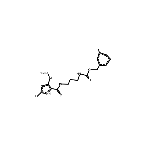 CCCCCNc1nc(Cl)[nH]c1C(=O)NCCCNC(=O)OCc1cccc(C)c1